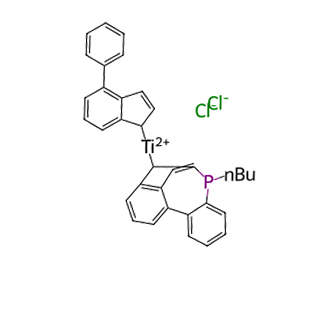 CCCCP1C2=Cc3c(cccc3[CH]2[Ti+2][CH]2C=Cc3c(-c4ccccc4)cccc32)-c2ccccc21.[Cl-].[Cl-]